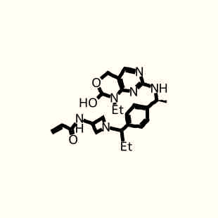 C=CC(=O)NC1CN(C(CC)c2ccc([C@H](C)Nc3ncc4c(n3)N(CC)C(O)OC4)cc2)C1